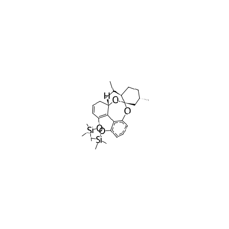 CC(C)[C@H]1CC[C@H](C)C[C@]12Oc1cccc(O[Si](C)(C)C)c1C1=C(O[Si](C)(C)C)C=CC[C@@H]1O2